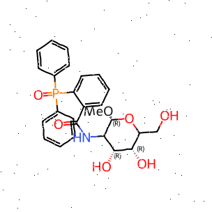 CO[C@@H]1OC(CO)[C@H](O)[C@H](O)C1NC(=O)c1ccccc1P(=O)(c1ccccc1)c1ccccc1